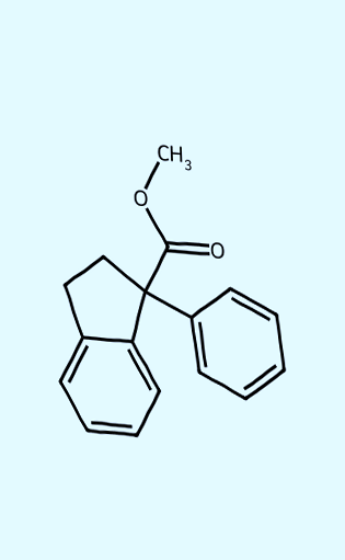 COC(=O)C1(c2ccccc2)CCc2ccccc21